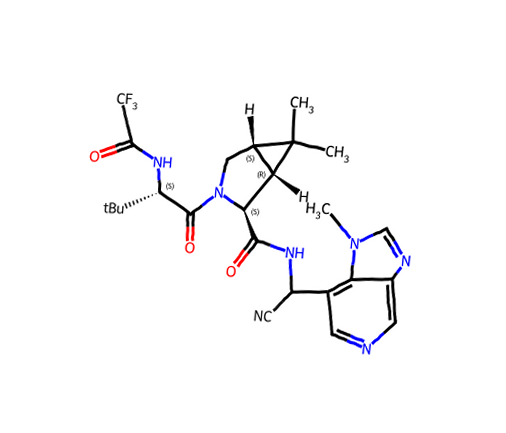 Cn1cnc2cncc(C(C#N)NC(=O)[C@@H]3[C@@H]4[C@H](CN3C(=O)[C@@H](NC(=O)C(F)(F)F)C(C)(C)C)C4(C)C)c21